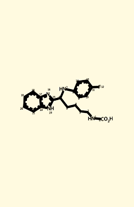 O=C(O)NCCCCC(Nc1ccc(F)cc1)c1nc2ccccc2[nH]1